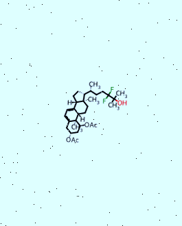 CC(=O)O[C@@H]1CC2=CC=C3[C@@H]4CC[C@H]([C@H](C)CCC(F)(F)C(C)(C)O)[C@@]4(C)CC[C@@H]3[C@@]2(C)[C@@H](OC(C)=O)C1